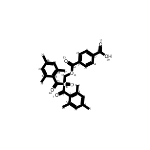 Cc1cc(C)c(C(=O)P(=O)(COC(=O)c2ccc(C(=O)O)cc2)C(=O)c2c(C)cc(C)cc2C)c(C)c1